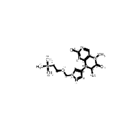 CCC1C(=O)N(C)c2cnc(Cl)nc2N1c1cnn(COCC[Si](C)(C)C)c1